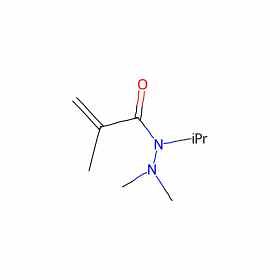 C=C(C)C(=O)N(C(C)C)N(C)C